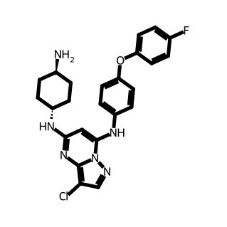 N[C@H]1CC[C@H](Nc2cc(Nc3ccc(Oc4ccc(F)cc4)cc3)n3ncc(Cl)c3n2)CC1